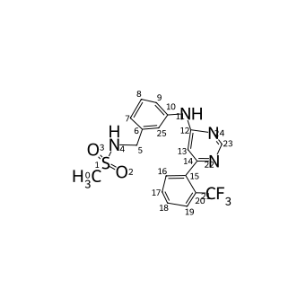 CS(=O)(=O)NCc1cccc(Nc2cc(-c3ccccc3C(F)(F)F)ncn2)c1